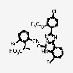 CN(C(=O)O)c1c(Br)cccc1C#N.O=c1[nH]c2c(Br)cccc2c2nc(-c3ccc(Cl)cc3OC(F)(F)F)nn12